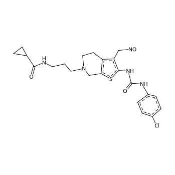 O=NCc1c(NC(=O)Nc2ccc(Cl)cc2)sc2c1CCN(CCCNC(=O)C1CC1)C2